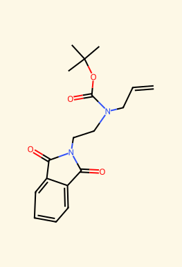 C=CCN(CCN1C(=O)c2ccccc2C1=O)C(=O)OC(C)(C)C